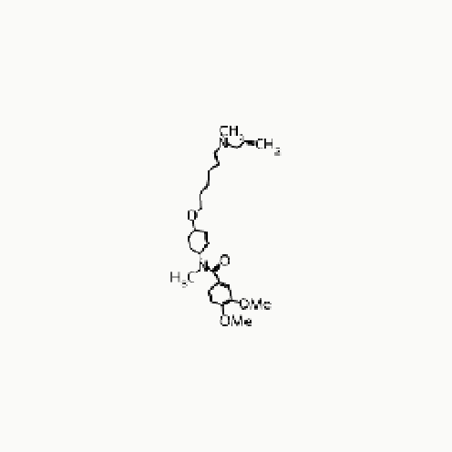 C=CCN(C)CCCCCCO[C@H]1CC[C@H](N(C)C(=O)c2ccc(OC)c(OC)c2)CC1